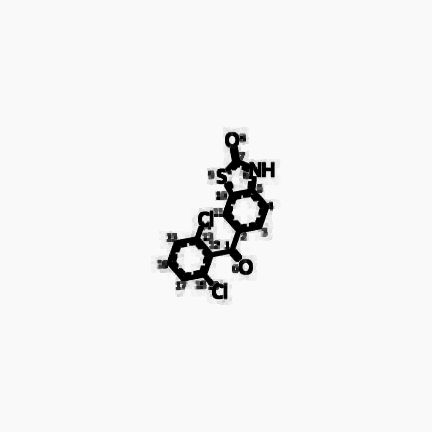 O=C(c1ccc2[nH]c(=O)sc2c1)c1c(Cl)cccc1Cl